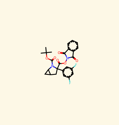 CC(C)(C)OC(=O)N1C2CC2CC1(C(=O)ON1C(=O)c2ccccc2C1=O)c1cc(F)cc(F)c1